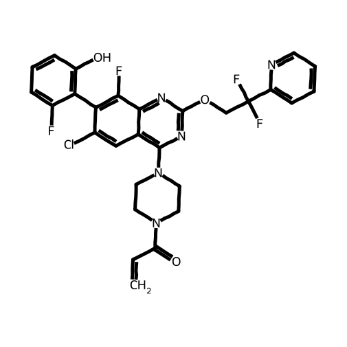 C=CC(=O)N1CCN(c2nc(OCC(F)(F)c3ccccn3)nc3c(F)c(-c4c(O)cccc4F)c(Cl)cc23)CC1